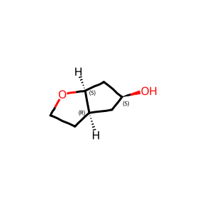 O[C@H]1C[C@H]2CCO[C@H]2C1